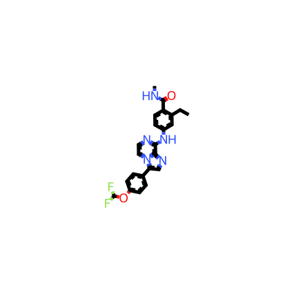 CCc1cc(Nc2nccn3c(-c4ccc(OC(F)F)cc4)cnc23)ccc1C(=O)NC